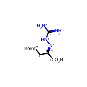 CCCCCC/C(=N\NC(=N)N)C(=O)O